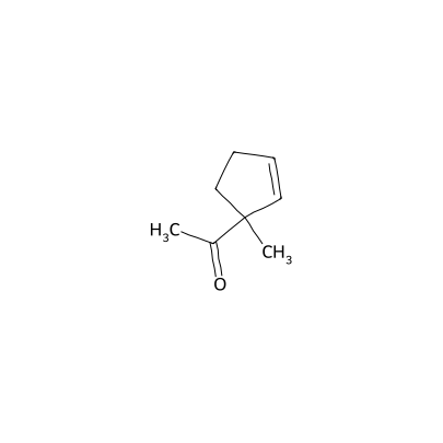 CC(=O)C1(C)C=CCC1